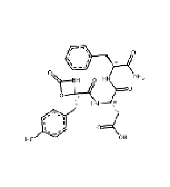 NC(=O)[C@H](Cc1ccccc1)NC(=O)[C@H](CC(=O)O)NC(=O)[C@]1(Cc2ccc(O)cc2)NC(=O)O1